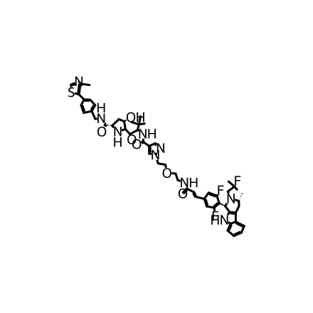 Cc1ncsc1-c1ccc(CNC(=O)[C@@H]2C[C@@H](O)C(C(=O)C(NC(=O)c3cnn(CCOCCNC(=O)/C=C/c4cc(F)c([C@@H]5c6[nH]c7ccccc7c6C[C@@H](C)N5CC(C)(C)F)c(F)c4)c3)C(C)(C)C)N2)cc1